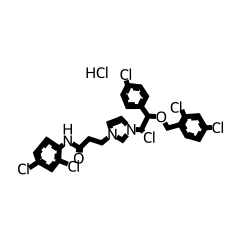 Cl.O=C(CCN1C=CN(C(Cl)C(OCc2ccc(Cl)cc2Cl)c2ccc(Cl)cc2)C1)Nc1ccc(Cl)cc1Cl